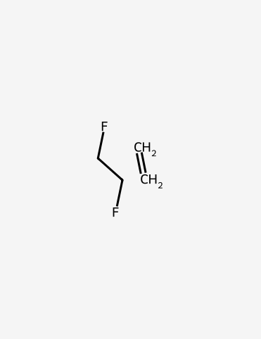 C=C.FCCF